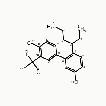 CCCC(CC)c1ccc(Cl)cc1-c1ccc(Cl)c(C(F)(F)F)c1